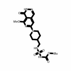 COc1nc(N2CCC(CNS(=O)(=O)NC(=O)OC(C)(C)C)CC2)cc2cn[nH]c(=O)c12